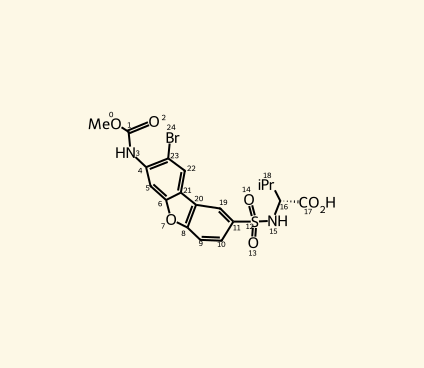 COC(=O)Nc1cc2oc3ccc(S(=O)(=O)N[C@@H](C(=O)O)C(C)C)cc3c2cc1Br